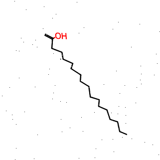 C=C(O)CC[CH]CCCCCCCCCCCCC